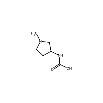 CN1CCC(NC(=O)O)C1